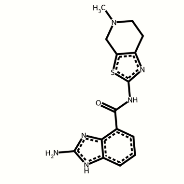 CN1CCc2nc(NC(=O)c3cccc4[nH]c(N)nc34)sc2C1